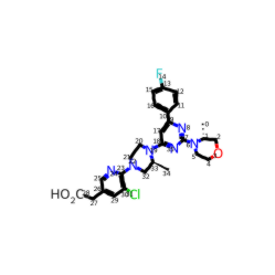 C[C@@H]1COCCN1c1nc(-c2ccc(F)cc2)cc(N2CCN(c3ncc(CC(=O)O)cc3Cl)C[C@@H]2C)n1